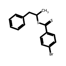 CC(Cc1ccccc1)SC(=S)c1ccc(Br)cc1